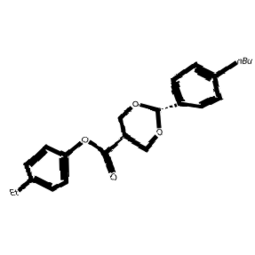 CCCCc1ccc([C@H]2OC[C@H](C(=O)Oc3ccc(CC)cc3)CO2)cc1